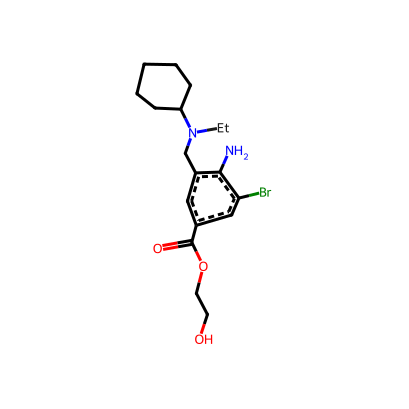 CCN(Cc1cc(C(=O)OCCO)cc(Br)c1N)C1CCCCC1